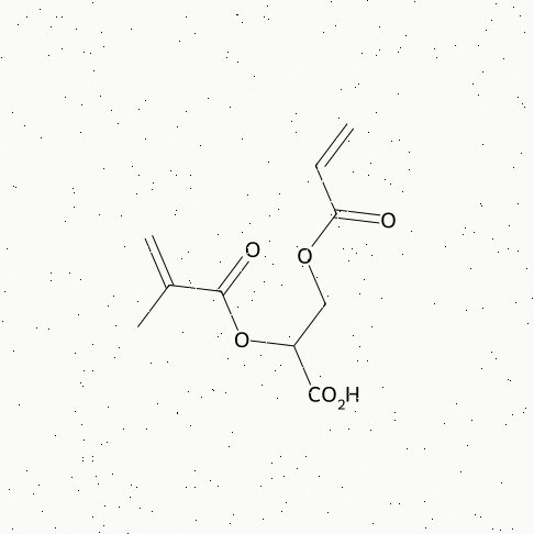 C=CC(=O)OCC(OC(=O)C(=C)C)C(=O)O